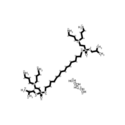 CC(C)COP(=O)(CCN(CCCN)CCCN)OCCCCCCCCCCCCCCOP(=O)(CCN(CCCN)CCCN)OCC(C)C.Cl.Cl.Cl.Cl.Cl.Cl